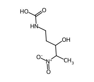 CC(C(O)CCNC(=O)O)[N+](=O)[O-]